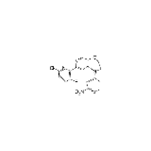 O=[N+]([O-])c1cc(N2CCOc3cnc(-c4nc(Cl)ccc4F)cc32)ccn1